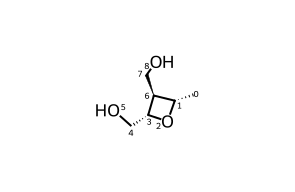 C[C@@H]1O[C@H](CO)[C@H]1CO